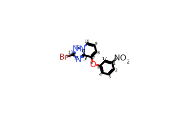 O=[N+]([O-])c1cccc(Oc2cccn3nc(Br)nc23)c1